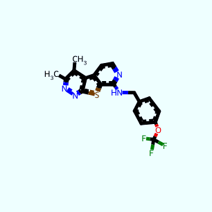 Cc1nnc2sc3c(NCc4ccc(OC(F)(F)F)cc4)nccc3c2c1C